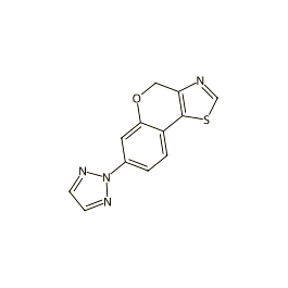 c1cnn(-c2ccc3c(c2)OCc2ncsc2-3)n1